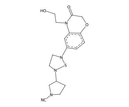 N#CN1CCC(N2CCN(c3ccc4c(c3)N(CCO)C(=O)CO4)S2)C1